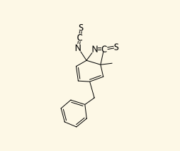 CC1(C)C=C(Cc2ccccc2)C=CC1(N=C=S)N=C=S